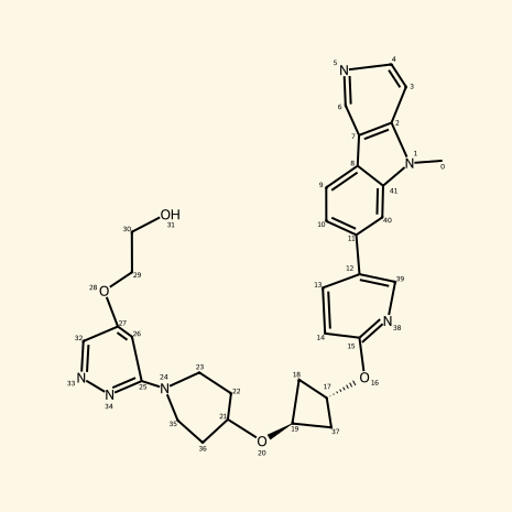 Cn1c2ccncc2c2ccc(-c3ccc(O[C@H]4C[C@H](OC5CCN(c6cc(OCCO)cnn6)CC5)C4)nc3)cc21